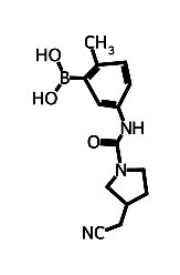 Cc1ccc(NC(=O)N2CCC(CC#N)C2)cc1B(O)O